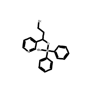 CC(=O)CCC(O[Si](c1ccccc1)(c1ccccc1)C(C)(C)C)c1cccnc1